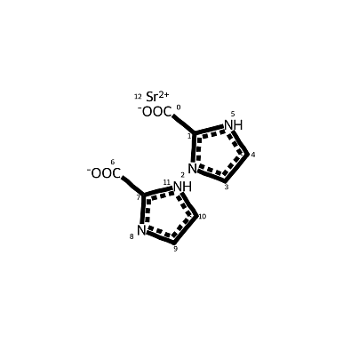 O=C([O-])c1ncc[nH]1.O=C([O-])c1ncc[nH]1.[Sr+2]